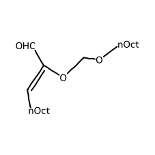 CCCCCCCCC=C(C=O)OCOCCCCCCCC